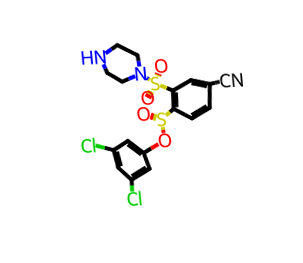 N#Cc1ccc(S(=O)Oc2cc(Cl)cc(Cl)c2)c(S(=O)(=O)N2CCNCC2)c1